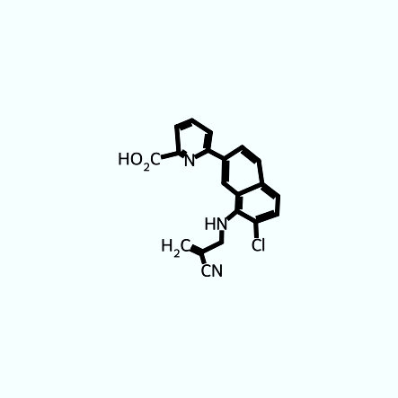 C=C(C#N)CNc1c(Cl)ccc2ccc(-c3cccc(C(=O)O)n3)cc12